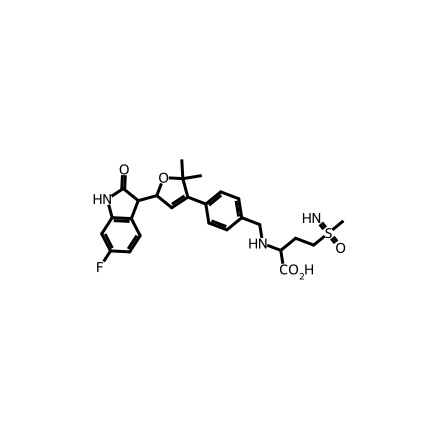 CC1(C)OC(C2C(=O)Nc3cc(F)ccc32)C=C1c1ccc(CNC(CCS(C)(=N)=O)C(=O)O)cc1